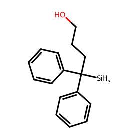 OCCCC([SiH3])(c1ccccc1)c1ccccc1